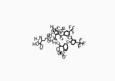 CP(=O)(O)CCC(N)C(=O)O.CS(=O)(=O)c1cc(C(F)(F)F)ccc1C(=O)c1cnoc1C1CC1.O=C(O)c1cc(Oc2ccc(C(F)(F)F)cc2Cl)ccc1[N+](=O)[O-]